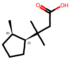 C[C@@H]1CCC[C@@H]1C(C)(C)CC(=O)O